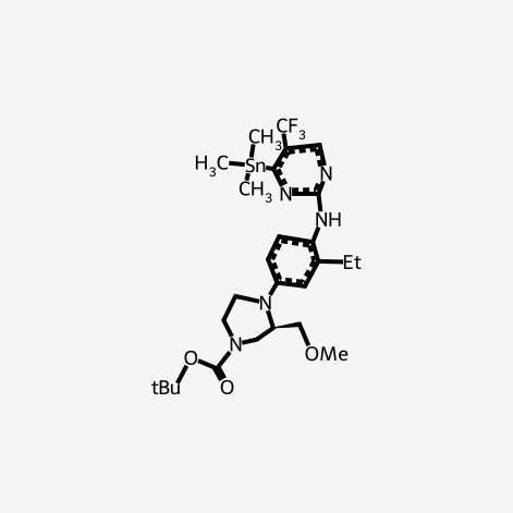 CCc1cc(N2CCN(C(=O)OC(C)(C)C)C[C@@H]2COC)ccc1Nc1ncc(C(F)(F)F)[c]([Sn]([CH3])([CH3])[CH3])n1